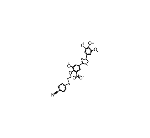 COc1cc(C2CSC(c3cc(OC)c(OCCSc4ccc(C#N)cc4)c([N+](=O)[O-])c3)S2)cc(OC)c1OC